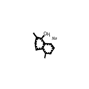 Cc1ccc2c(C)cccc2c1O.[Na]